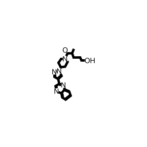 CC(CCCO)C(=O)N1CCC(n2cc(-c3cnc4ccccc4n3)cn2)CC1